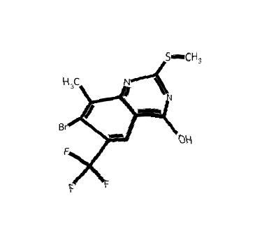 CSc1nc(O)c2cc(C(F)(F)F)c(Br)c(C)c2n1